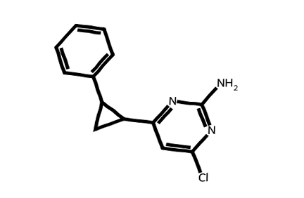 Nc1nc(Cl)cc(C2CC2c2ccccc2)n1